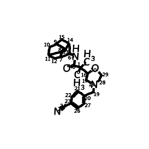 CC(C)(C(=O)NC1C2CC3CC(C2)CC1C3)C1CN(Cc2ccc(C#N)cc2)CCO1